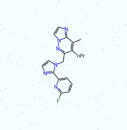 CCCc1c(Cn2ccnc2-c2cccc(F)n2)nn2ccnc2c1C